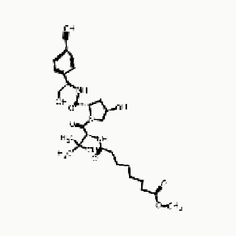 C#Cc1ccc([C@H](CO)NC(=O)[C@@H]2C[C@@H](O)CN2C(=O)[C@@H](NC(=O)CCCCCCC(=O)OC)C(C)(C)C)cc1